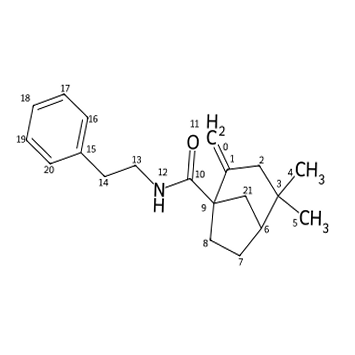 C=C1CC(C)(C)C2CCC1(C(=O)NCCc1ccccc1)C2